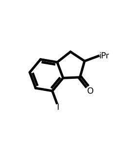 CC(C)C1Cc2cccc(I)c2C1=O